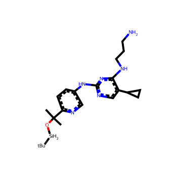 CC(C)(C)[SiH2]OC(C)(C)c1ccc(Nc2ncc(C3CC3)c(NCCCN)n2)cn1